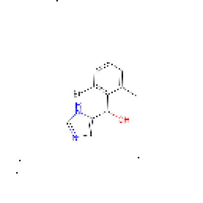 CCc1cccc(C)c1C(O)c1cnc[nH]1